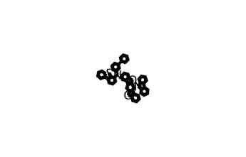 c1ccc(-c2cccc(N(c3ccc4oc5c(-n6c7ccccc7c7ccccc76)c6c(cc5c4c3)oc3ccccc36)c3cccc4c3sc3ccccc34)c2)cc1